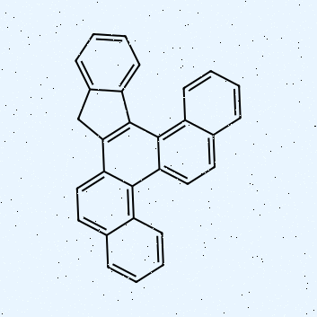 c1ccc2c(c1)Cc1c-2c2c3ccccc3ccc2c2c1ccc1ccccc12